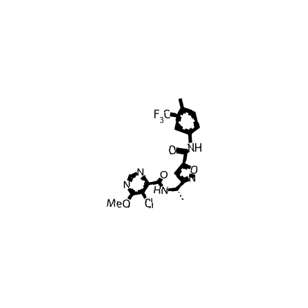 COc1ncnc(C(=O)N[C@@H](C)c2cc(C(=O)Nc3ccc(C)c(C(F)(F)F)c3)on2)c1Cl